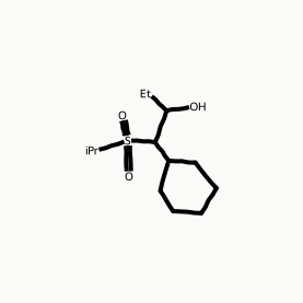 CCC(O)C(C1CCCCC1)S(=O)(=O)C(C)C